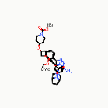 COCOc1ccccc1-c1cc(N2CC3CCC(C2)N3c2ccnc(C#C[C@H]3C[C@H](OC4CCN(C(=O)OC(C)(C)C)CC4)C3)c2)c(N)nn1